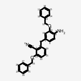 N#Cc1c(Cc2ccc(N)c(OCc3ccccc3)c2)cccc1OCc1ccccc1